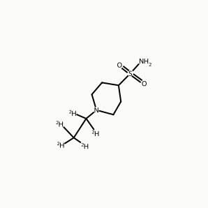 [2H]C([2H])([2H])C([2H])([2H])N1CCC(S(N)(=O)=O)CC1